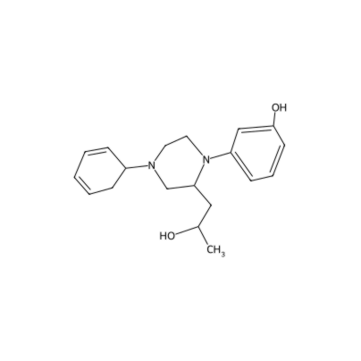 CC(O)CC1CN(C2C=CC=CC2)CCN1c1cccc(O)c1